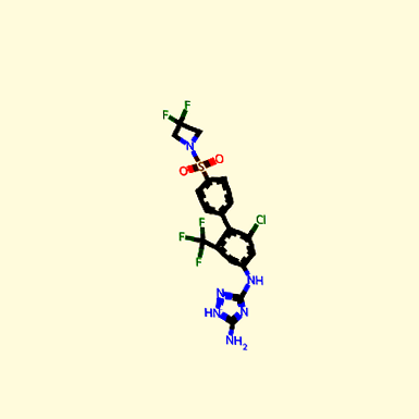 Nc1nc(Nc2cc(Cl)c(-c3ccc(S(=O)(=O)N4CC(F)(F)C4)cc3)c(C(F)(F)F)c2)n[nH]1